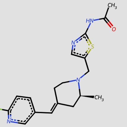 CC(=O)Nc1ncc(CN2CC/C(=C\c3ccc(F)nc3)C[C@@H]2C)s1